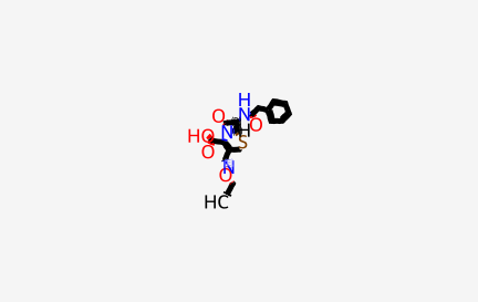 C#CCO/N=C/C1=C(C(=O)O)N2C(=O)[C@@H](NC(=O)Cc3ccccc3)[C@H]2SC1